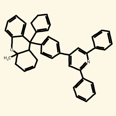 CC12CC=CCC1C(C1=CC=CCC1)(c1ccc(-c3cc(-c4ccccc4)nc(-c4ccccc4)c3)cc1)c1ccccc1O2